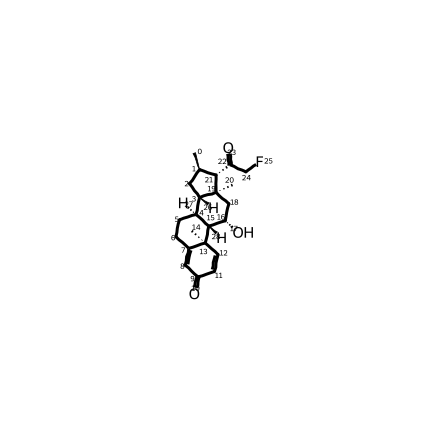 C[C@@H]1C[C@H]2[C@@H]3CCC4=CC(=O)C=C[C@]4(C)[C@H]3[C@@H](O)C[C@]2(C)[C@H]1C(=O)CF